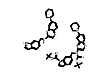 CC(C)(C)OC(=O)N(Cc1ccc2ccn(C(=O)OC(C)(C)C)c2c1)c1cnc2ccc(N3CCCCC3)cc2n1.c1cc2ccc(CNc3cnc4ccc(N5CCCCC5)cc4n3)cc2[nH]1